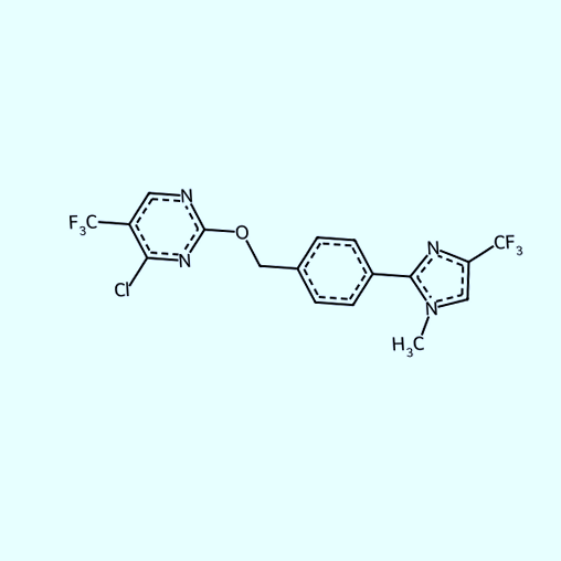 Cn1cc(C(F)(F)F)nc1-c1ccc(COc2ncc(C(F)(F)F)c(Cl)n2)cc1